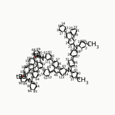 Cc1ccc(N(c2ccc(C=C(c3ccccc3)c3ccccc3)cc2)c2ccc(-c3ccc(N(c4ccc(C)cc4)c4ccc(/C=C(/c5ccccc5)c5cccc(-c6cccc(N(c7ccccc7)c7ccc8c(c7)C7(c9cc(N(c%10ccccc%10)c%10ccccc%10)ccc9-8)c8cc(C(C)(C)C)ccc8-c8ccc(C(C)(C)C)cc87)c6)c5)cc4)cc3)cc2)cc1